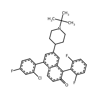 CC(C)(C)N1CCC(c2cc(-c3ccc(F)cc3Cl)n3ccc(=O)c(-c4c(F)cccc4F)c3c2)CC1